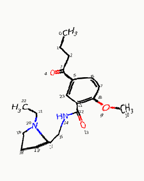 CCCC(=O)c1ccc(OC)c(C(=O)NCC2CCCN2CC)c1